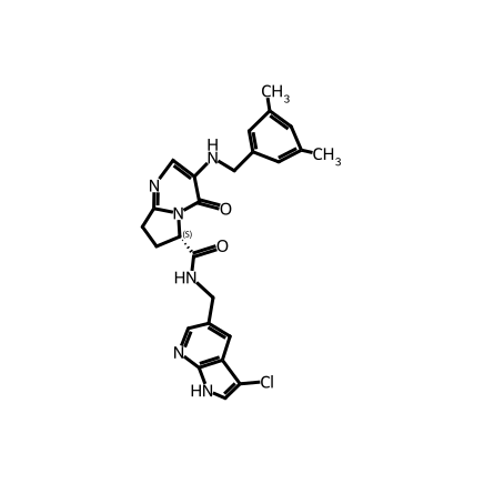 Cc1cc(C)cc(CNc2cnc3n(c2=O)[C@H](C(=O)NCc2cnc4[nH]cc(Cl)c4c2)CC3)c1